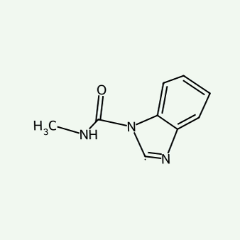 CNC(=O)n1[c]nc2ccccc21